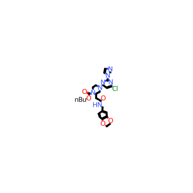 CCCCOC(=O)N1CCN(c2cc(Cl)nc(-n3ccnc3)n2)CC1CC(=O)NCc1ccc2c(c1)OCCO2